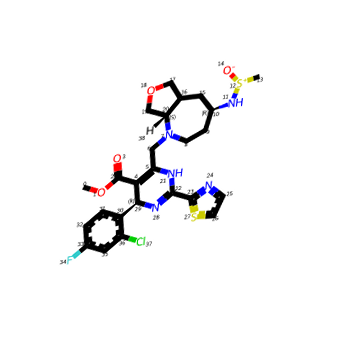 COC(=O)C1=C(CN2CC[C@H](N[S+](C)[O-])CC3COC[C@H]32)NC(c2nccs2)=N[C@H]1c1ccc(F)cc1Cl